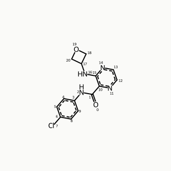 O=C(Nc1ccc(Cl)cc1)c1nccnc1NC1COC1